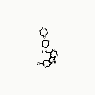 Clc1cc2c(cn1)[nH]c1ncnc(N[C@H]3CC[C@H](N4CCOCC4)CC3)c12